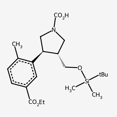 CCOC(=O)c1ccc(C)c([C@H]2CN(C(=O)O)C[C@@H]2CO[Si](C)(C)C(C)(C)C)c1